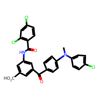 CN(c1ccc(Cl)cc1)c1ccc(C(=O)c2cc(NC(=O)c3ccc(Cl)cc3Cl)cc(C(=O)O)c2)cc1